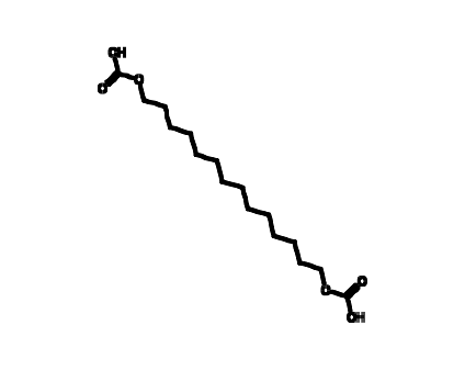 O=C(O)OCCCCCCCCCCCCCCOC(=O)O